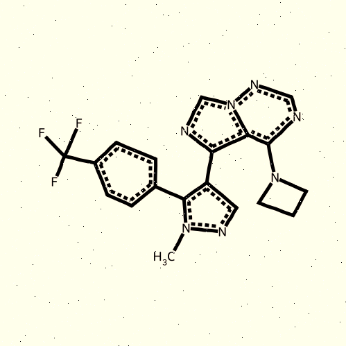 Cn1ncc(-c2ncn3ncnc(N4CCC4)c23)c1-c1ccc(C(F)(F)F)cc1